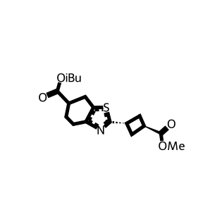 COC(=O)[C@H]1C[C@H](c2nc3c(s2)CC(C(=O)OCC(C)C)CC3)C1